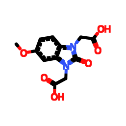 COc1ccc2c(c1)n(CC(=O)O)c(=O)n2CC(=O)O